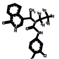 [2H]C([2H])([2H])C([2H])([2H])N(C(=O)Nc1ccc(F)c(Cl)c1)C(C)c1c[nH]c(=O)c2ccccc12